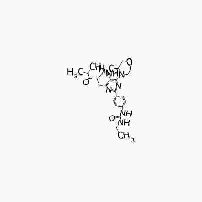 CCNC(=O)Nc1ccc(-c2nc3c(c(N4CCOCC4C)n2)NCC(C(=O)C(C)C)C3)cc1